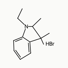 Br.CCN1c2ccccc2C(C)(C)C1C